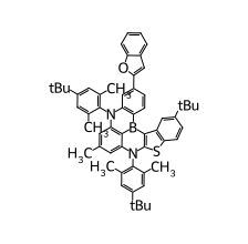 Cc1cc2c3c(c1)N(c1c(C)cc(C(C)(C)C)cc1C)c1sc4ccc(C(C)(C)C)cc4c1B3c1ccc(-c3cc4ccccc4o3)cc1N2c1c(C)cc(C(C)(C)C)cc1C